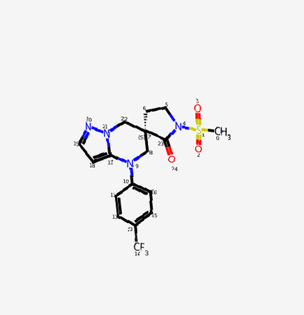 CS(=O)(=O)N1CC[C@@]2(CN(c3ccc(C(F)(F)F)cc3)c3ccnn3C2)C1=O